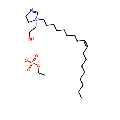 CCCCCCCC/C=C\CCCCCCCC[N+]1(CCO)C=NCC1.CCOS(=O)(=O)[O-]